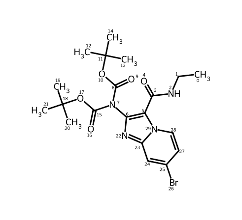 CCNC(=O)c1c(N(C(=O)OC(C)(C)C)C(=O)OC(C)(C)C)nc2cc(Br)ccn12